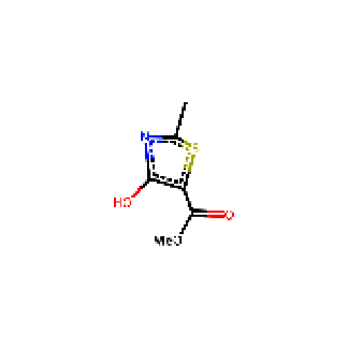 COC(=O)c1sc(C)nc1O